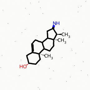 C[C@@H]1C(=N)CC2C3CC=C4C[C@@H](O)CC[C@]4(C)C3CC[C@@]21C